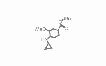 COC1CN(C(=O)OC(C)(C)C)CCC1NC1CC1